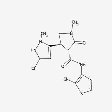 CN1C[C@H](C2=CC(Cl)NN2C)[C@@H](C(=O)Nc2ccsc2Cl)C1=O